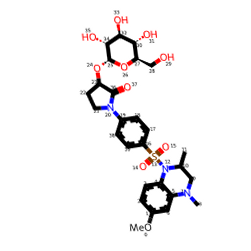 COc1ccc2c(c1)N(C)CC(C)N2S(=O)(=O)c1ccc(N2CCC(O[C@H]3O[C@H](CO)[C@@H](O)[C@H](O)[C@H]3O)C2=O)cc1